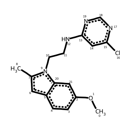 COc1ccc2cc(C)n(CCNc3cc(Cl)ncn3)c2c1